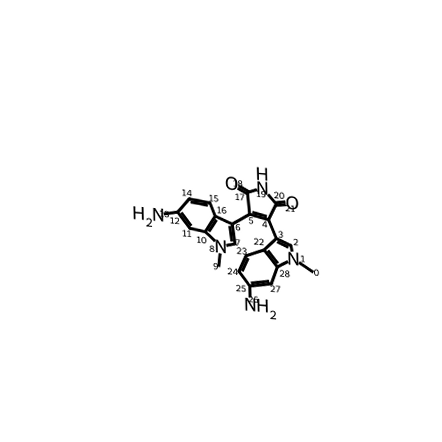 Cn1cc(C2=C(c3cn(C)c4cc(N)ccc34)C(=O)NC2=O)c2ccc(N)cc21